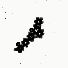 Cn1ncn(-c2ccc(N3CCN(C(C(=O)NCc4ccccc4)c4ccccc4)CC3)cc2)c1=O